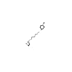 Cc1cc(CCCCCCCOc2ccc(C=O)cc2)on1